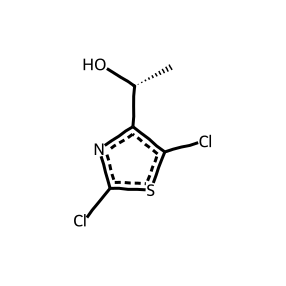 C[C@@H](O)c1nc(Cl)sc1Cl